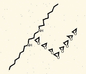 C1CO1.C1CO1.C1CO1.C1CO1.C1CO1.C1CO1.C1CO1.C1CO1.CCCCCCCCNCCCNCCCCCCCC